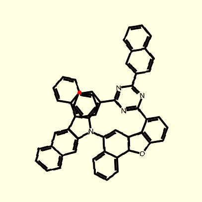 C1=C(n2c3cc4ccccc4cc3c3c4ccccc4ccc32)c2ccccc2C2Oc3cccc(-c4nc(-c5ccccc5)nc(-c5ccc6ccccc6c5)n4)c3C12